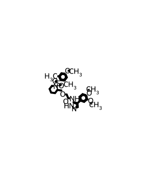 COc1cc(C)c(S(=O)(=O)N2CCCCC2COCC(=O)Nc2[nH]ncc2-c2ccc(OC)c(OC)c2)c(C)c1